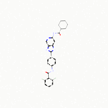 O=C(Nc1ccc(-c2nc3cc(NC(=O)C4CCCCC4)ncc3[nH]2)cc1)c1c(F)cccc1F